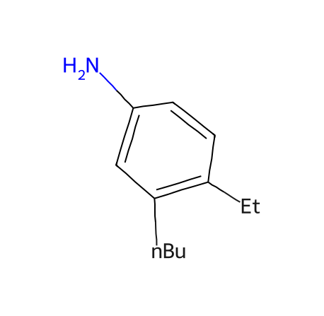 CCCCc1cc(N)ccc1CC